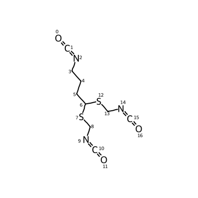 O=C=NCCCC(SCN=C=O)SCN=C=O